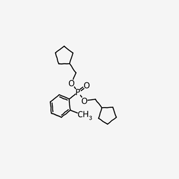 Cc1ccccc1P(=O)(OCC1CCCC1)OCC1CCCC1